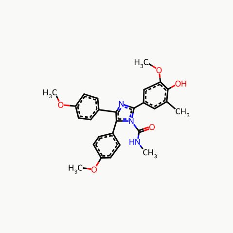 CNC(=O)n1c(-c2cc(C)c(O)c(OC)c2)nc(-c2ccc(OC)cc2)c1-c1ccc(OC)cc1